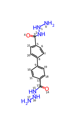 NNNC(=O)c1ccc(-c2ccc(C(=O)NNN)cc2)cc1